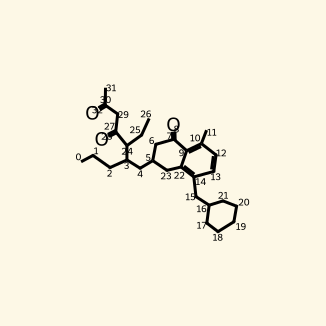 CCCC(CC1CC(=O)c2c(C)ccc(CC3CCCCC3)c2C1)C(CC)C(=O)CC(C)=O